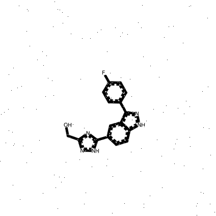 OCc1n[nH]c(-c2ccc3[nH]nc(-c4ccc(F)cc4)c3c2)n1